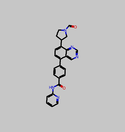 O=CN1CCC(c2ccc(-c3ccc(C(=O)Nc4ccccn4)cc3)c3cncnc23)C1